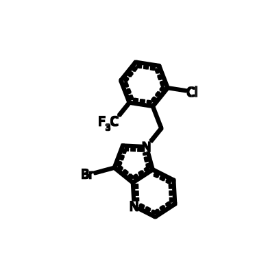 FC(F)(F)c1cccc(Cl)c1Cn1cc(Br)c2ncccc21